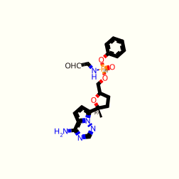 C[C@]1(c2ccc3c(N)ncnn23)CCC(CO[P@@](=O)(NCC=O)Oc2ccccc2)O1